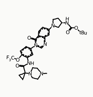 CN1CCN(C2(C(=O)Nc3cc(-n4cnc5cc(N6CC[C@@H](NC(=O)OC(C)(C)C)C6)ccc5c4=O)ccc3OC(F)(F)F)CC2)CC1